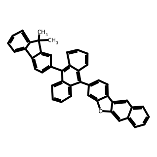 CC1(C)c2ccccc2-c2ccc(-c3c4ccccc4c(-c4ccc5c(c4)oc4cc6ccccc6cc45)c4ccccc34)cc21